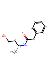 O=C(Cc1ccccc1)N[C@@H](CCO)C(=O)O